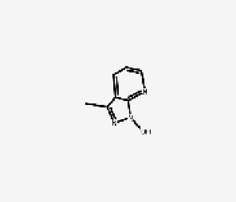 Cc1nn(O)c2ncccc12